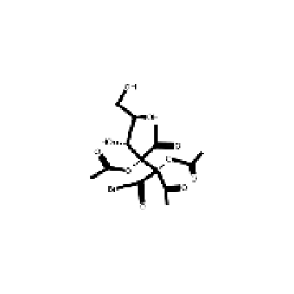 CC(=O)O[C@](C(C)=O)(C(=O)Br)[C@](OC(C)=O)(C(C)=O)[C@H](O)[C@H](O)CO